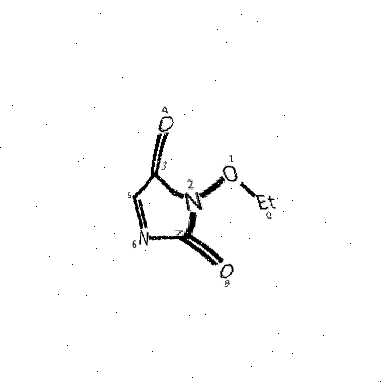 CCON1C(=O)C=NC1=O